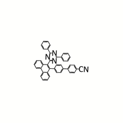 N#Cc1ccc(-c2ccc(-c3c(-c4nc(-c5ccccc5)nc(-c5ccccc5)n4)c4ccccc4c4ccccc34)cc2)cc1